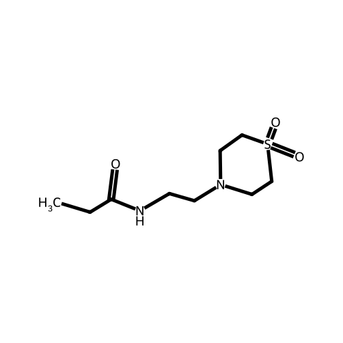 CCC(=O)NCCN1CCS(=O)(=O)CC1